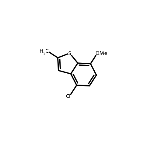 COc1ccc(Cl)c2cc(C)sc12